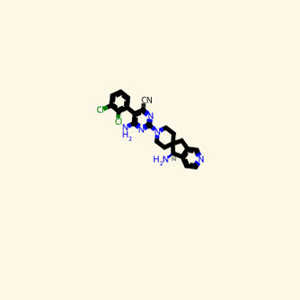 N#Cc1nc(N2CCC3(CC2)Cc2cnccc2[C@H]3N)nc(N)c1-c1cccc(Cl)c1Cl